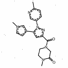 Cc1ccc(-n2nc(C(=O)N3CCN(C)C(=O)C3)cc2-c2ccn(C)c2)cn1